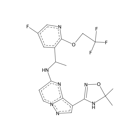 CC(Nc1ccn2ncc(C3=NOC(C)(C)N3)c2n1)c1cc(F)cnc1OCC(F)(F)F